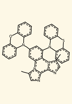 Cc1cnc2c3ncc(C)n3c3c(N4c5ccccc5Sc5ccccc54)cc(N4c5ccccc5Oc5ccccc54)cc3n12